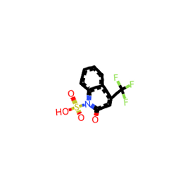 O=c1cc(C(F)(F)F)c2ccccc2n1S(=O)(=O)O